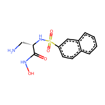 NC[C@H](NS(=O)(=O)c1ccc2ccccc2c1)C(=O)NO